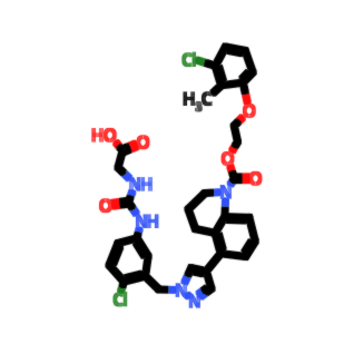 Cc1c(Cl)cccc1OCCOC(=O)N1CCCc2c(-c3cnn(Cc4cc(NC(=O)NCC(=O)O)ccc4Cl)c3)cccc21